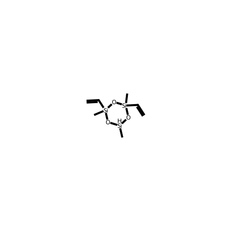 C=C[Si]1(C)O[SiH](C)O[Si](C)(C=C)O1